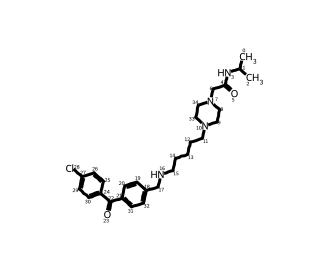 CC(C)NC(=O)CN1CCN(CCCCCNCc2ccc(C(=O)c3ccc(Cl)cc3)cc2)CC1